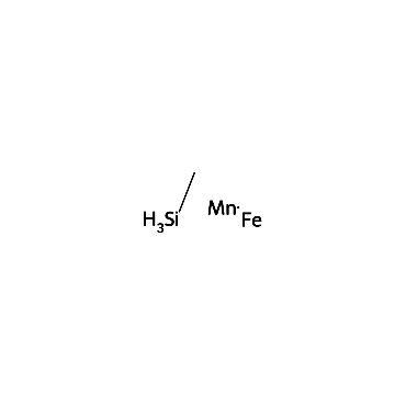 C[SiH3].[Fe].[Mn]